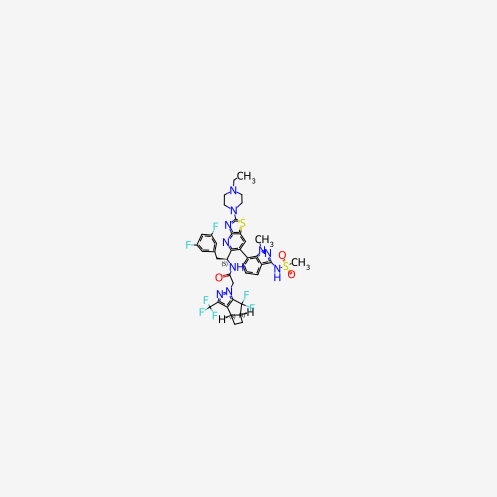 CCN1CCN(c2nc3nc([C@H](Cc4cc(F)cc(F)c4)NC(=O)Cn4nc(C(F)(F)F)c5c4C(F)(F)[C@@H]4CC[C@H]54)c(-c4cccc5c(NS(C)(=O)=O)nn(C)c45)cc3s2)CC1